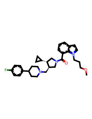 COCCCn1ccc2cccc(C(=O)N3C[C@@H](CN4CCC(c5ccc(F)cc5)CC4)[C@H](C4CC4)C3)c21